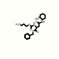 CCCCOC(=O)NC(CC(=O)N[C@@H]1CCCC[C@H]1O)C(=O)OCc1ccccc1